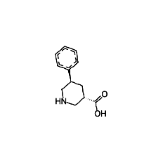 O=C(O)[C@@H]1CNC[C@@H](c2ccccc2)C1